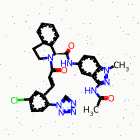 CC(=O)Nc1nn(C)c2ccc(NC(=O)[C@@H]3c4ccccc4CCN3C(=O)C=Cc3cc(Cl)ccc3-n3cnnn3)cc12